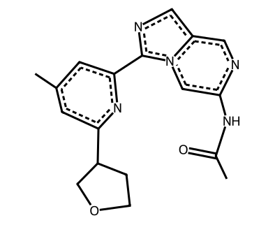 CC(=O)Nc1cn2c(-c3cc(C)cc(C4CCOC4)n3)ncc2cn1